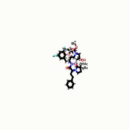 CC[C@@H](C)C1(NC(C)=O)CCN(C(CCc2ccccc2)C(=O)N[C@@H](Cc2cc(F)cc(F)c2)[C@H](O[Si](C)(C)C(C)(C)C)[C@H]2C[C@@H](O)CN2C(=O)OC(C)(C)C)C1=O